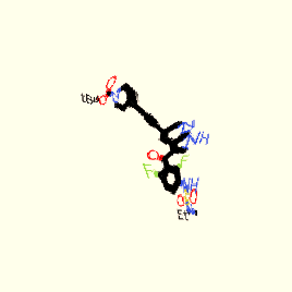 CCN(C)S(=O)(=O)Nc1ccc(F)c(C(=O)c2c[nH]c3ncc(C#CC4CCN(C(=O)OC(C)(C)C)CC4)cc23)c1F